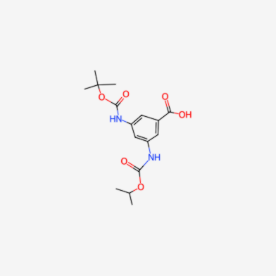 CC(C)OC(=O)Nc1cc(NC(=O)OC(C)(C)C)cc(C(=O)O)c1